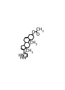 CC(=O)O[C@H]1CC[C@@]2(C)C(=CCC3C2CC[C@]2(C)C(N4C=CNN4)=CCC32)C1